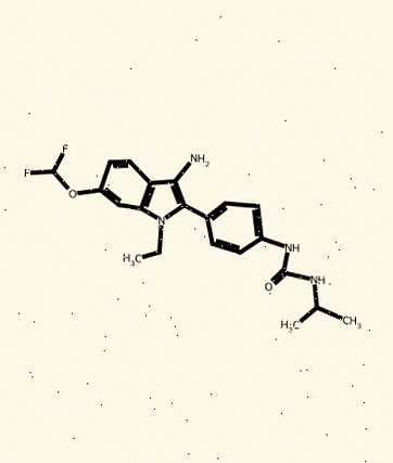 CCn1c(-c2ccc(NC(=O)NC(C)C)cc2)c(N)c2ccc(OC(F)F)cc21